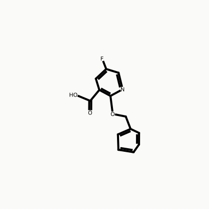 O=C(O)c1cc(F)cnc1OCc1ccccc1